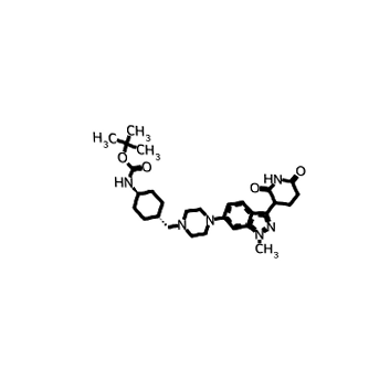 Cn1nc(C2CCC(=O)NC2=O)c2ccc(N3CCN(C[C@H]4CC[C@H](NC(=O)OC(C)(C)C)CC4)CC3)cc21